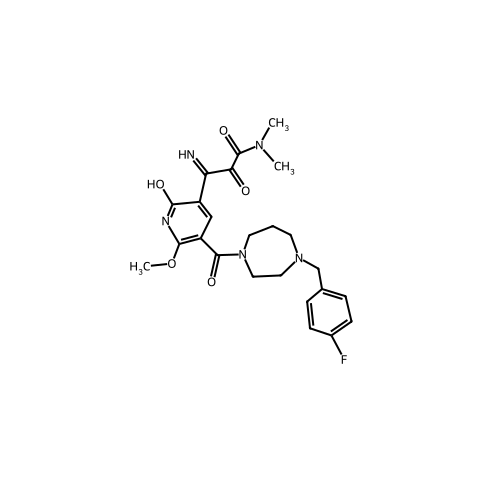 COc1nc(O)c(C(=N)C(=O)C(=O)N(C)C)cc1C(=O)N1CCCN(Cc2ccc(F)cc2)CC1